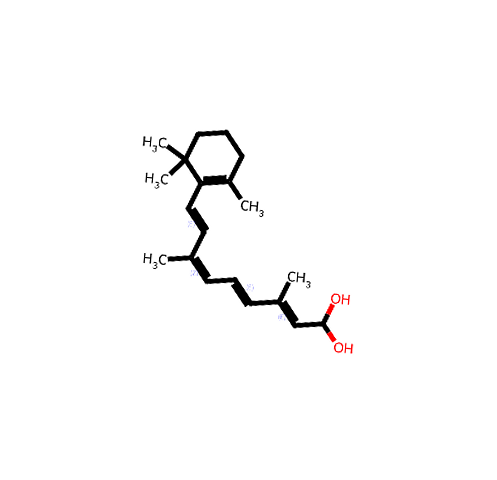 CC1=C(/C=C/C(C)=C\C=C\C(C)=C\C(O)O)C(C)(C)CCC1